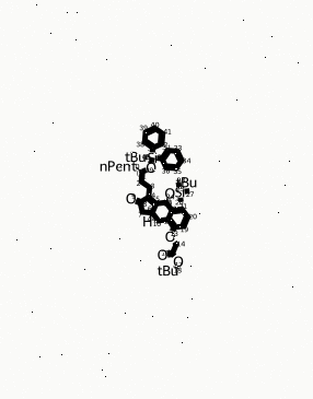 CCCCC[C@@H](CCC1=C2[C@H](CC1=O)Cc1c(OCC(=O)OC(C)(C)C)cccc1[C@H]2O[Si](C)(C)C(C)(C)C)O[Si](c1ccccc1)(c1ccccc1)C(C)(C)C